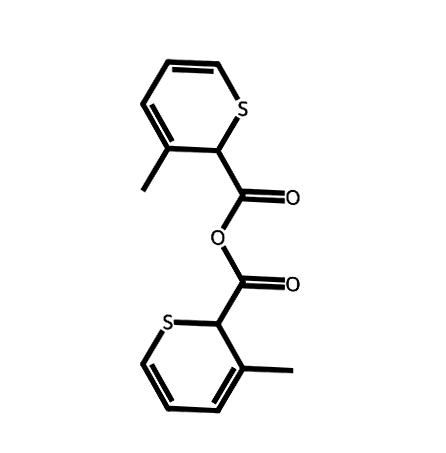 CC1=CC=CSC1C(=O)OC(=O)C1SC=CC=C1C